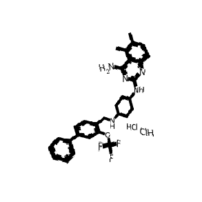 Cc1ccc2nc(NC3CCC(NCc4ccc(-c5ccccc5)cc4OC(F)(F)F)CC3)nc(N)c2c1C.Cl.Cl